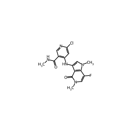 CNC(=O)c1cnc(Cl)cc1Nc1cn(C)c2c(F)cn(C)c(=O)c12